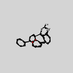 CCc1nc(-c2ccc(-c3ccccc3)cc2)c2c(-c3ccccc3)cccc2n1